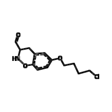 O=CC1Cc2cc(OCCCCCl)ccc2ON1